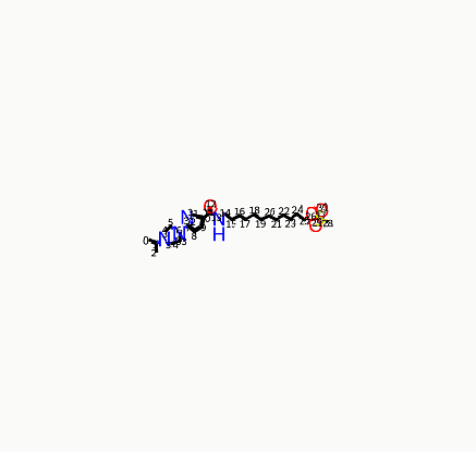 CC(C)N1CCN(c2ccc(C(=O)NCCCCCCCCCCCCOS(C)(=O)=O)cn2)CC1